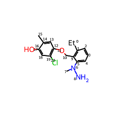 CCc1cccc(N(C)N)c1COc1cc(C)c(O)cc1Cl